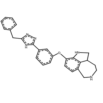 c1ccc(Cc2nnc(-c3cccc(Oc4ccc5c6c4NCC6CCNC5)c3)[nH]2)cc1